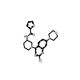 O=C(NC1CCCN(c2nc(Cl)nc3cc(N4CCOCC4)ccc23)C1)c1cccs1